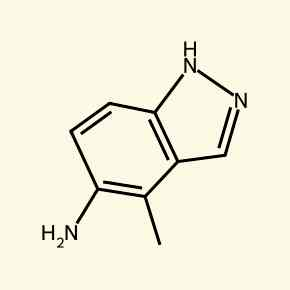 Cc1c(N)ccc2[nH]ncc12